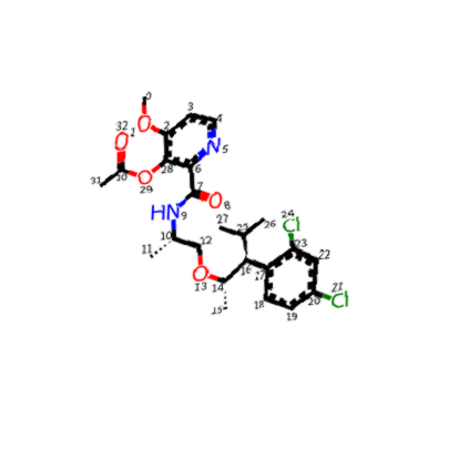 COc1ccnc(C(=O)N[C@@H](C)CO[C@@H](C)[C@H](c2ccc(Cl)cc2Cl)C(C)C)c1OC(C)=O